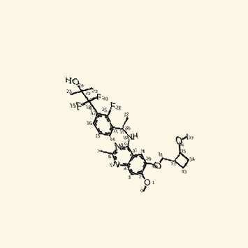 COc1cc2nc(C)nc(N[C@H](C)c3cccc(C(F)(F)C(C)(C)O)c3F)c2cc1OCC1CCC1OI